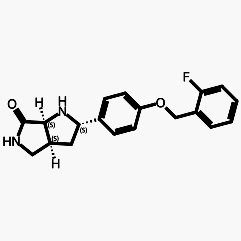 O=C1NC[C@@H]2C[C@@H](c3ccc(OCc4ccccc4F)cc3)N[C@H]12